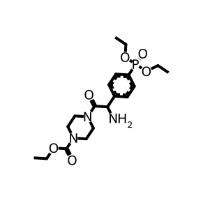 CCOC(=O)N1CCN(C(=O)C(N)c2ccc(P(=O)(OCC)OCC)cc2)CC1